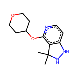 CC1(C)NNc2ccnc(OC3CCOCC3)c21